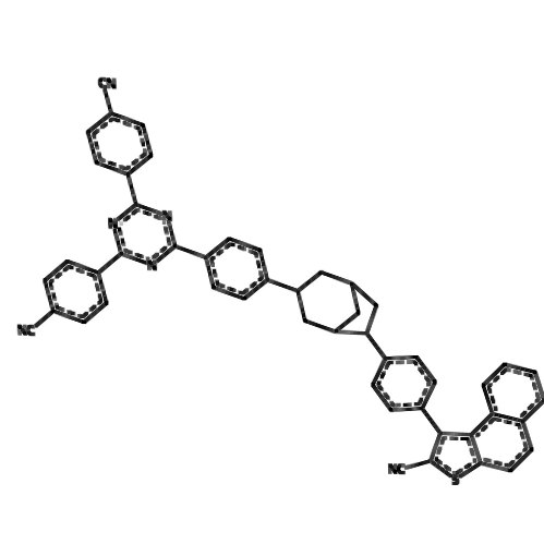 N#Cc1ccc(-c2nc(-c3ccc(C#N)cc3)nc(-c3ccc(C4CC5CC(C4)C(c4ccc(-c6c(C#N)sc7ccc8ccccc8c67)cc4)C5)cc3)n2)cc1